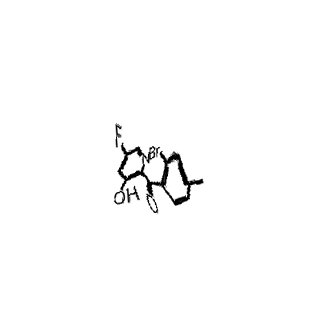 Cc1ccc(C(=O)c2ncc(F)cc2O)c(Br)c1